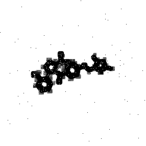 Cc1cc(C)n(COc2ccc(C(=O)N3[C@@H](c4ccccc4Cl)CC[C@H]3C(=O)O)cc2)n1